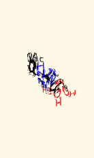 CC(=O)Oc1ccc(CNc2ncnc3c2ncn3[C@@H]2O[C@H](CO)[C@@H](O)[C@H]2O)cc1